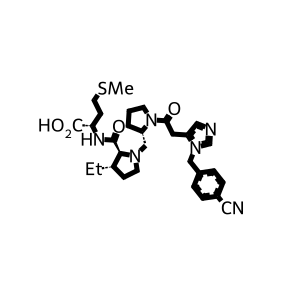 CC[C@H]1CCN(C[C@@H]2CCCN2C(=O)Cc2cncn2Cc2ccc(C#N)cc2)[C@@H]1C(=O)N[C@@H](CCSC)C(=O)O